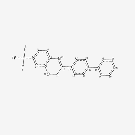 FC(F)(F)c1ccc2c(c1)OCC(c1ccc(-c3ccccc3)cc1)=N2